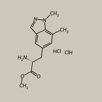 COC(=O)[C@H](N)Cc1cc(C)c2c(cnn2C)c1.Cl.Cl